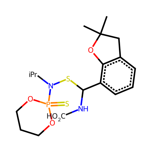 CC(C)N(SC(NC(=O)O)c1cccc2c1OC(C)(C)C2)P1(=S)OCCCO1